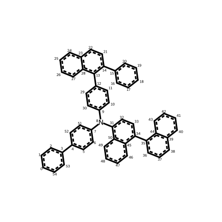 c1ccc(-c2ccc(N(c3ccc(-c4c(-c5ccccc5)ccc5ccccc45)cc3)c3ccc(-c4cccc5ccccc45)c4ccccc34)cc2)cc1